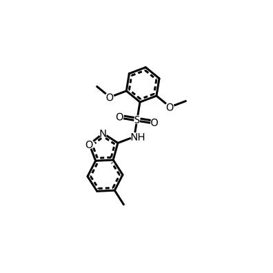 COc1cccc(OC)c1S(=O)(=O)Nc1noc2ccc(C)cc12